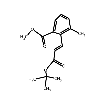 COC(=O)c1cccc(C)c1C=CC(=O)OC(C)(C)C